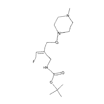 CN1CCN(OC/C(=C/F)CNC(=O)OC(C)(C)C)CC1